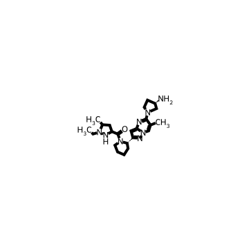 CCN1NC(C(=O)N2CCCC[C@H]2c2cc3nc(N4CC[C@H](N)C4)c(C)cn3n2)CC1C